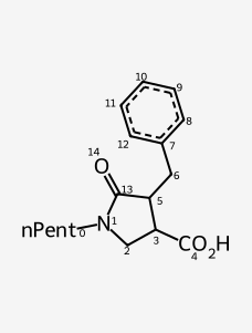 CCCCCN1CC(C(=O)O)C(Cc2ccccc2)C1=O